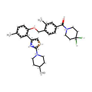 Cc1ccc(OCc2ccc(C(=O)N3CCC(F)(F)CC3)cc2C)c(-c2csc(N3CCC(C=O)CC3)n2)c1